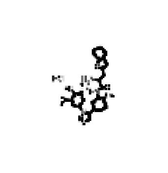 COc1ccc(-c2cnnn2-c2cc(OC)c(OC)c(OC)c2)cc1NC(=O)C(N)Cc1cc2ccccc2o1.Cl